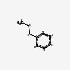 CCCc1cnc[c]n1